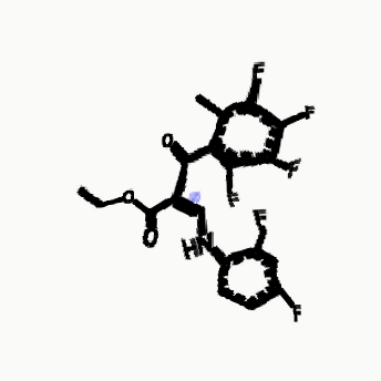 CCOC(=O)/C(=C\Nc1ccc(F)cc1F)C(=O)c1c(C)c(F)c(F)c(F)c1F